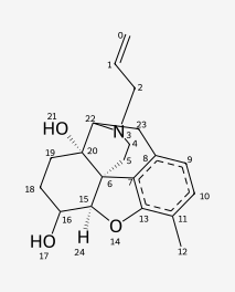 C=CCN1CC[C@]23c4c5ccc(C)c4O[C@H]2C(O)CC[C@@]3(O)C1C5